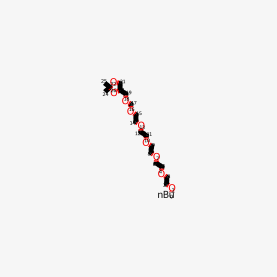 CCCCOCCOCCOCCOCCOCCOCOCC1COC(C)(C)O1